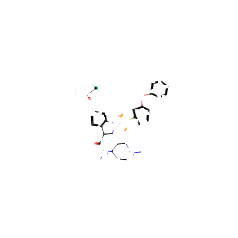 CN1CCC(N(C)C(=O)C2CN(S(=O)(=O)c3cccc(Oc4ccccc4)c3)c3ccccc32)CC1.O=C(O)C(F)(F)F